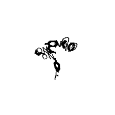 Cc1c(C2CN(C(=O)CN3CCOCC3)CCC2C)nn(C(=O)c2ccco2)c1N(C)Cc1ccc(F)cc1